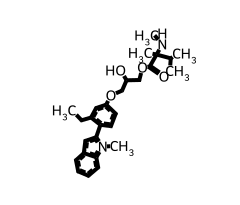 CCc1cc(OCC(O)COC(=O)C(C)(NC)C(C)C)ccc1-c1cc2ccccc2n1C